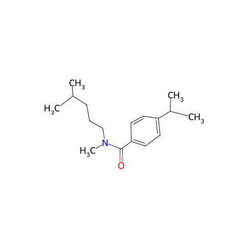 CC(C)CCCN(C)C(=O)c1ccc(C(C)C)cc1